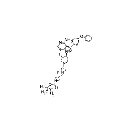 CC(C)(C)OC(=O)N1CC(F)(CN2CC(N3CC[C@H](n4nc(-c5ccc(Oc6ccccc6)cc5)c5c(N)ncnc54)[C@H](F)C3)C2)C1